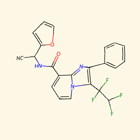 N#CC(NC(=O)c1cccn2c(C(F)(F)C(F)F)c(-c3ccccc3)nc12)c1ccco1